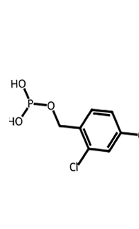 OP(O)OCc1ccc(Cl)cc1Cl